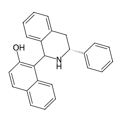 Oc1ccc2ccccc2c1C1N[C@@H](c2ccccc2)Cc2ccccc21